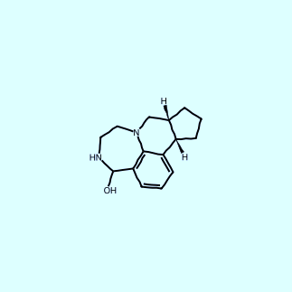 OC1NCCN2C[C@@H]3CCC[C@@H]3c3cccc1c32